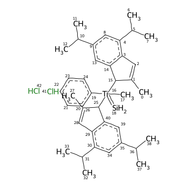 CC1=Cc2c(C(C)C)cc(C(C)C)cc2[CH]1[Ti]([CH3])(=[SiH2])([c]1ccccc1)[CH]1C(C)=Cc2c(C(C)C)cc(C(C)C)cc21.Cl.Cl